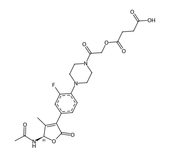 CC(=O)N[C@@H]1OC(=O)C(c2ccc(N3CCN(C(=O)COC(=O)CCC(=O)O)CC3)c(F)c2)=C1C